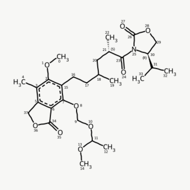 COc1c(C)c2c(c(OCOC(C)OC)c1CCC(C)C[C@H](C)C(=O)N1C(=O)OC[C@H]1C(C)C)C(=O)OC2